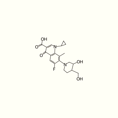 Cc1c(N2CCC(CO)C(O)C2)c(F)cc2c(=O)c(C(=O)O)cn(C3CC3)c12